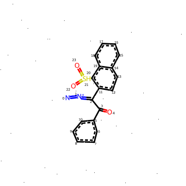 [N-]=[N+]=C(C(=O)c1ccccc1)c1ccc2ccccc2c1[SH](=O)=O